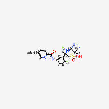 COc1ccc(C(=O)Nc2ccc(F)c([C@@]3(CF)CS(O)(O)C(C)(C)C(N)=N3)c2)nc1